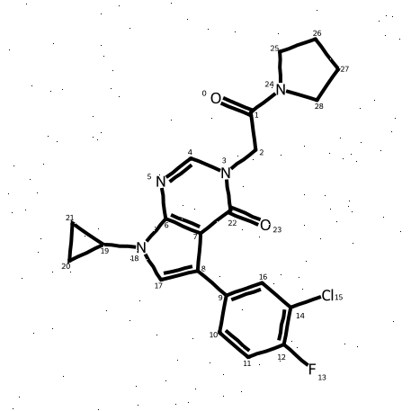 O=C(Cn1cnc2c(c(-c3ccc(F)c(Cl)c3)cn2C2CC2)c1=O)N1CCCC1